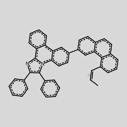 C/C=C\c1cccc2ccc3ccc(-c4ccc5c(c4)c4ccccc4c4nc(-c6ccccc6)c(-c6ccccc6)n54)cc3c12